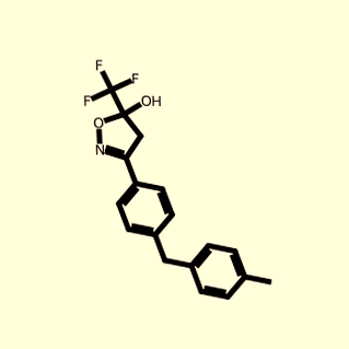 Cc1ccc(Cc2ccc(C3=NOC(O)(C(F)(F)F)C3)cc2)cc1